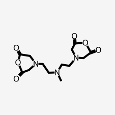 CN(CCN1CC(=O)OC(=O)C1)CCN1CC(=O)OC(=O)C1